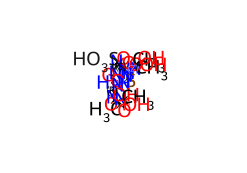 Cc1c(C(=O)N2CC[C@@H](c3cc(C(=O)NC[C@@H]4[C@H](NC(=O)/C(=N\OC(C)(C)C(O)O)c5csc(N)n5)C(=O)N4S(=O)(=O)O)on3)C2)n(O)c(C)c(O)c1=O